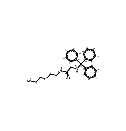 CC(=O)CCSCCNC(=O)CNC(c1ccccc1)(c1ccccc1)c1ccccc1